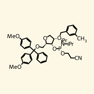 COc1ccc(C(OC[C@H]2OC[C@H](OCc3cccc(C)c3)[C@@H]2OP(OCCC#N)N(C(C)C)C(C)C)(c2ccccc2)c2ccc(OC)cc2)cc1